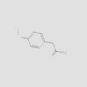 NC(=O)Cc1ccc(S[N+](=O)[O-])cc1